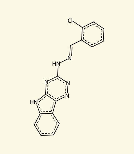 Clc1ccccc1/C=N/Nc1nnc2c(n1)[nH]c1ccccc12